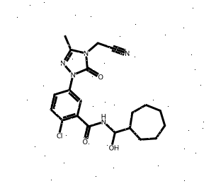 Cc1nn(-c2ccc(Cl)c(C(=O)NC(O)C3CCCCCC3)c2)c(=O)n1CC#N